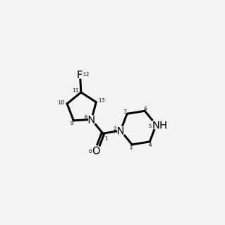 O=C(N1CCNCC1)N1CCC(F)C1